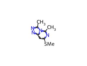 CSc1cc2nnc(C)n2c(C)n1